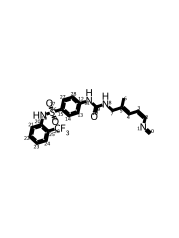 C=N/C=C\C=C(/C)CNC(=O)Nc1ccc(S(=O)(=O)Nc2ccccc2C(F)(F)F)cc1